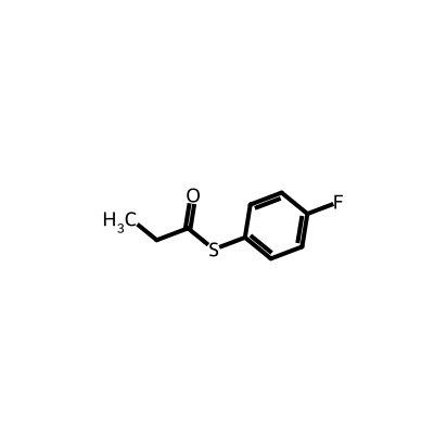 CCC(=O)Sc1ccc(F)cc1